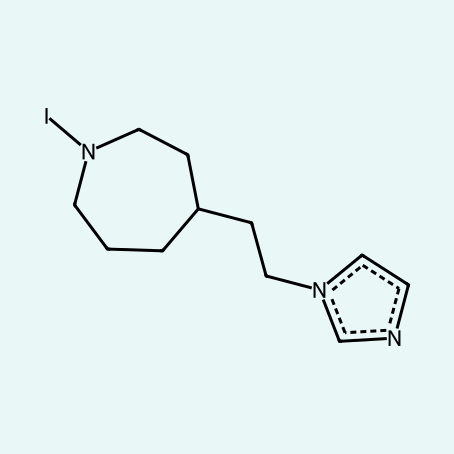 IN1CCCC(CCn2ccnc2)CC1